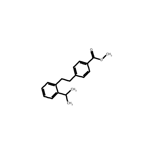 COC(=O)c1ccc(CCc2ccccc2C(C)C)cc1